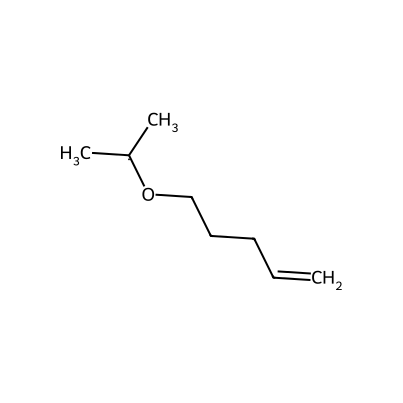 C=CCCCO[C](C)C